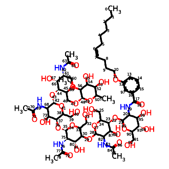 CCCCCC/C=C\CCCOc1cccc(C(=O)NC2C(O[C@@H]3C(CO)OC(OC4C(CO)O[C@@H](O[C@@H]5C(CO)O[C@@H](O[C@H]6C(CO[C@@H]7OC(C)C(O)C(O)C7OC)OC[C@@H](NC(C)=O)[C@H]6O)C(NC(C)=O)C5O)[C@@H](NC(C)=O)[C@H]4O)C(NC(C)=O)C3O)OC(CO)[C@@H](O)C2O)c1